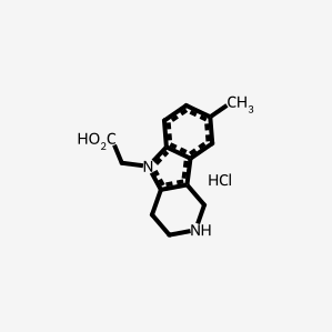 Cc1ccc2c(c1)c1c(n2CC(=O)O)CCNC1.Cl